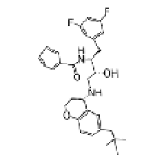 CC(C)(C)Cc1ccc2c(c1)[C@@H](NC[C@@H](O)[C@H](Cc1cc(F)cc(F)c1)NC(=O)c1ccccc1)CCO2